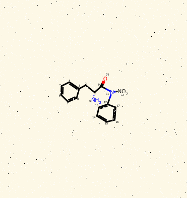 N[C@H](Cc1ccccc1)C(=O)N(c1ccccc1)[N+](=O)[O-]